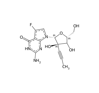 CC#C[C@@]1(O)C(O)[C@@H](CO)O[C@H]1n1cc(F)c2c(=O)[nH]c(N)nc21